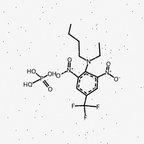 CCCCN(CC)c1c([N+](=O)[O-])cc(C(F)(F)F)cc1[N+](=O)[O-].O=P(O)(O)O